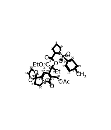 CCOC(=O)[C@@](CC)(OC(=O)C1CCCN1S(=O)(=O)c1ccc(C)cc1)c1cc2n(c(=O)c1COC(C)=O)CCC21OCCO1